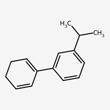 CC(C)c1cccc(C2=CCCC=C2)c1